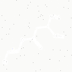 CC/C=C/OC(=O)CC(CCCCCCCC)CCCCCCCCCC